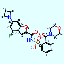 O=C(NS(=O)(=O)c1ccccc1C(=O)N1CCOCC1)c1cc2c(F)cc(N3CCC3)cc2o1